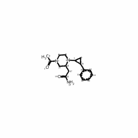 CC(=O)N1CCN(C2CC2c2ccccc2)C(CC(N)=O)C1